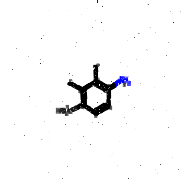 Cc1c(N)ccc(C(=O)O)c1C